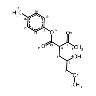 COCC(O)CC(C(C)=O)C(=O)Oc1ccc(C)cc1